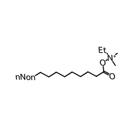 CCCCCCCCCCCCCCCCCC(=O)O[N+](C)(C)CC